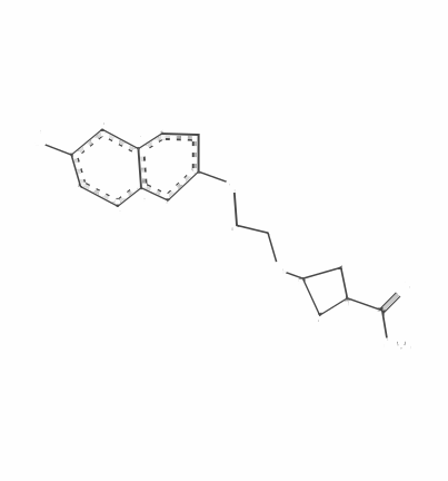 COC(=O)C1CC(OCCOc2ccc3cc(Br)ccc3c2)C1